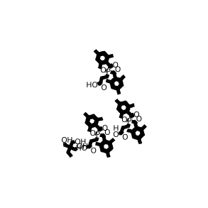 CCC(CO)(CO)CO.Cc1cc(C)c(C(=O)P(=O)(CCC(=O)O)C(=O)c2c(C)cc(C)cc2C)c(C)c1.Cc1cc(C)c(C(=O)P(=O)(CCC(=O)O)C(=O)c2c(C)cc(C)cc2C)c(C)c1.Cc1cc(C)c(C(=O)P(=O)(CCC(=O)O)C(=O)c2c(C)cc(C)cc2C)c(C)c1